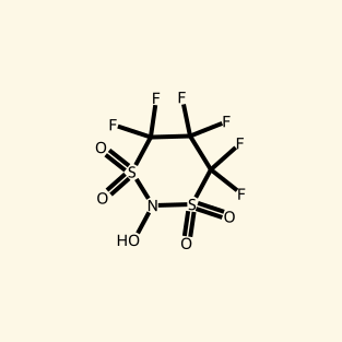 O=S1(=O)N(O)S(=O)(=O)C(F)(F)C(F)(F)C1(F)F